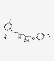 CCc1ccc(OCC(O)CNCCc2cc(C)ccc2C#N)cc1